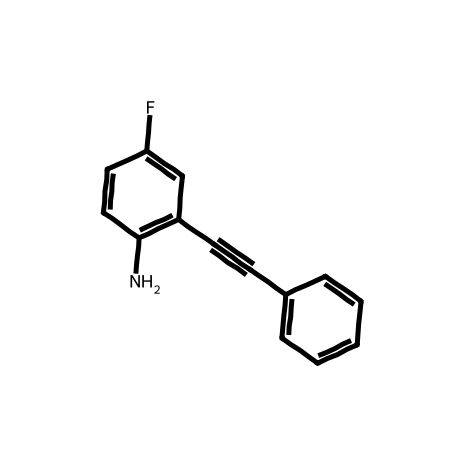 Nc1ccc(F)cc1C#Cc1ccccc1